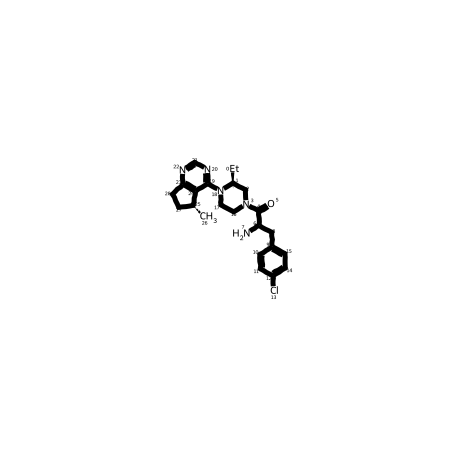 CC[C@H]1CN(C(=O)C(N)Cc2ccc(Cl)cc2)CCN1c1ncnc2c1[C@H](C)CC2